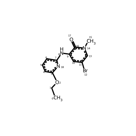 CCOc1cccc(Nc2cc(Br)cn(C)c2=O)n1